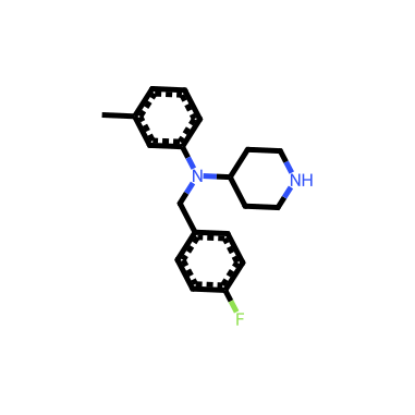 Cc1cccc(N(Cc2ccc(F)cc2)C2CCNCC2)c1